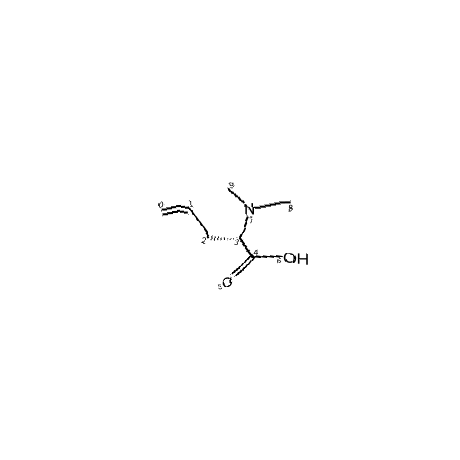 C=CC[C@@H](C(=O)O)N(C)C